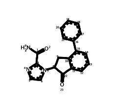 NC(=O)c1nccn1C1Cc2c(cccc2-c2ccccc2)C1=O